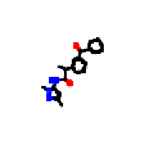 Cc1cc(NC(=O)C(C)c2cccc(C(=O)c3ccccc3)c2)n(C)n1